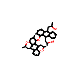 Cc1ccc2c(CC(C)O)c3ccccc3c(CC(C)O)c2c1Oc1c(C)ccc2c(CC(C)O)c3ccccc3c(CC(C)O)c12